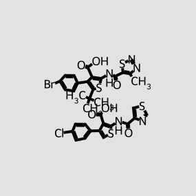 Cc1nnsc1C(=O)Nc1sc(C(C)(C)C)c(-c2ccc(Br)cc2)c1C(=O)O.O=C(Nc1scc(-c2ccc(Cl)cc2)c1C(=O)O)c1cscn1